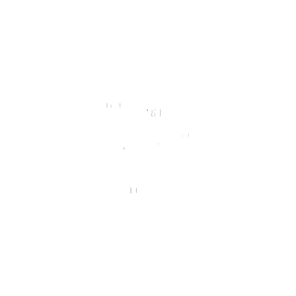 CCCNS(=O)(=O)CS